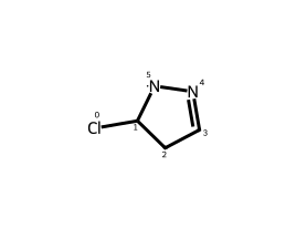 ClC1CC=N[N]1